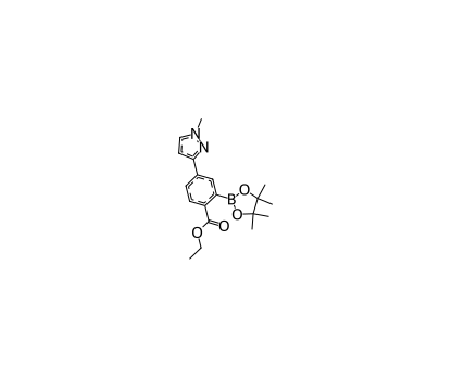 CCOC(=O)c1ccc(-c2ccn(C)n2)cc1B1OC(C)(C)C(C)(C)O1